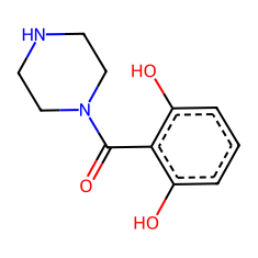 O=C(c1c(O)cccc1O)N1CCNCC1